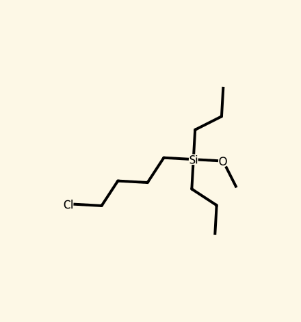 CCC[Si](CCC)(CCCCCl)OC